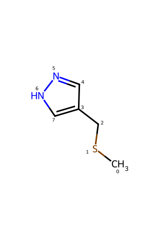 CSCc1cn[nH]c1